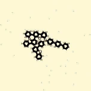 c1ccc(-c2ccc(-c3ccc(N(c4ccc(-c5cccc6c5oc5ccccc56)cc4)c4cccc5c4oc4c6c(ccc45)-c4ccccc4-n4c5ccccc5c5cccc-6c54)cc3)cc2)cc1